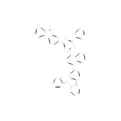 CC1(C)c2ccccc2-c2ccc(-c3cc(-c4ccc(-c5ccc6c(c5)N(c5ccccc5)C5C=CC=CC65)c5ccccc45)nc(-c4ccccc4)n3)cc21